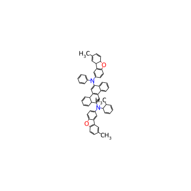 CC1=CC2c3cc(N(c4ccccc4)c4cc5c(c6ccccc46)C=C(N(c4ccc6oc7ccc(C)cc7c6c4)C4C=CC=CC4C)C4C=CC=CC54)ccc3OC2C=C1